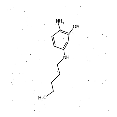 CCCCCNc1ccc(N)c(O)c1